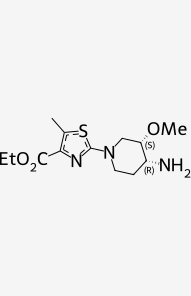 CCOC(=O)c1nc(N2CC[C@@H](N)[C@@H](OC)C2)sc1C